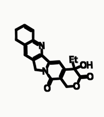 CCC1(O)C(=O)OCc2c1cc1n(c2=O)Cc2cc3c(nc2-1)C=CCC3